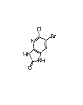 O=c1[nH]c2cc(Br)c(Cl)nc2[nH]1